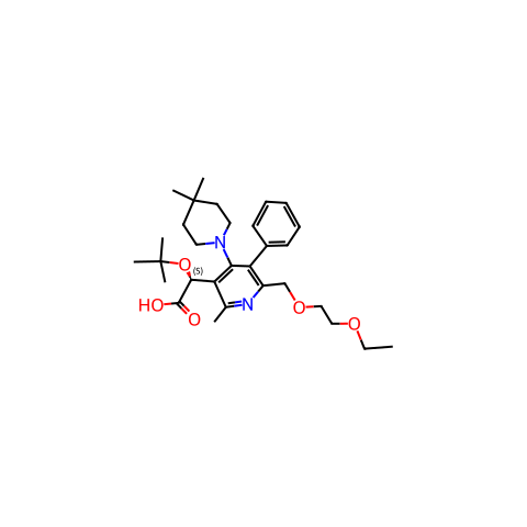 CCOCCOCc1nc(C)c([C@H](OC(C)(C)C)C(=O)O)c(N2CCC(C)(C)CC2)c1-c1ccccc1